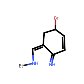 CCN/C=C1/CC(Br)C=CC1=N